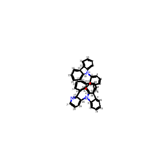 N#Cc1cccc(-n2c3ccccc3c3ccccc32)c1-c1cccc(-c2ncccc2-n2c3ccccc3c3ccccc32)c1